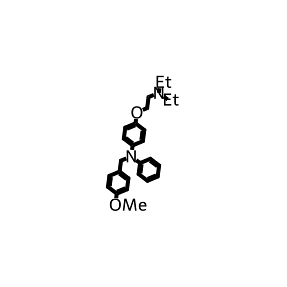 CCN(CC)CCOc1ccc(N(Cc2ccc(OC)cc2)c2ccccc2)cc1